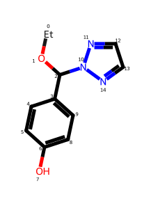 CCOC(c1ccc(O)cc1)n1nccn1